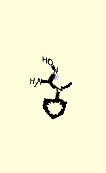 CN(/C(N)=N/O)c1ccccc1